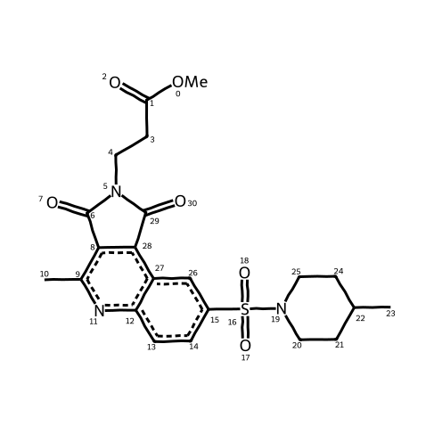 COC(=O)CCN1C(=O)c2c(C)nc3ccc(S(=O)(=O)N4CCC(C)CC4)cc3c2C1=O